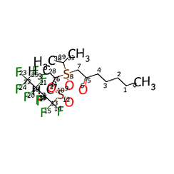 CCCCCC(=O)CS(OS(=O)(=O)C(F)(F)C(F)(F)C(F)(F)C(F)(F)F)(C(C)C)C(C)C